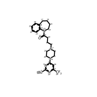 CC(C)(C)c1nc(N2CCN(CCCC(=O)N3CCCCc4ccccc43)CC2)cc(C(F)(F)F)n1